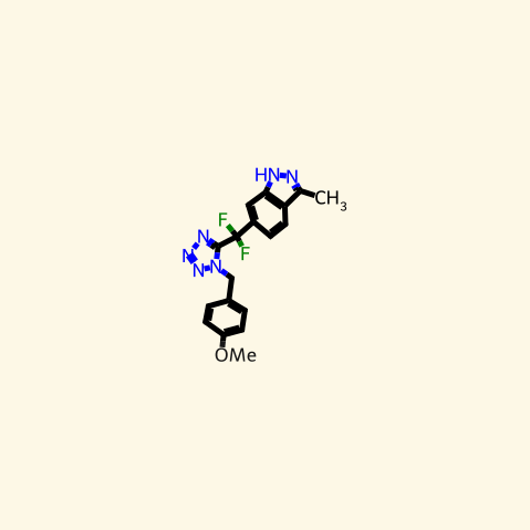 COc1ccc(Cn2nnnc2C(F)(F)c2ccc3c(C)n[nH]c3c2)cc1